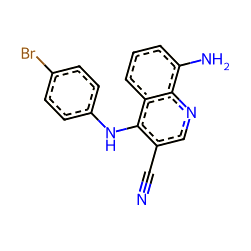 N#Cc1cnc2c(N)cccc2c1Nc1ccc(Br)cc1